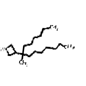 CCCCCCCC(C)(CCCCCC)C1CNC1